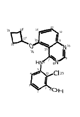 Oc1cccc(Nc2ncnc3cccc(OC4CCC4)c23)c1Cl